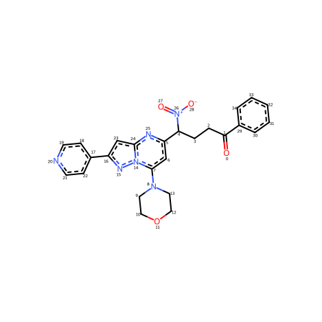 O=C(CCC(c1cc(N2CCOCC2)n2nc(-c3ccncc3)cc2n1)[N+](=O)[O-])c1ccccc1